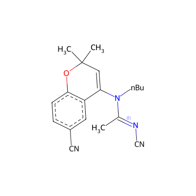 CCCCN(C1=CC(C)(C)Oc2ccc(C#N)cc21)/C(C)=N/C#N